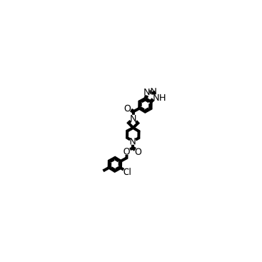 Cc1ccc(COC(=O)N2CCC3(CC2)CN(C(=O)c2ccc4[nH]nnc4c2)C3)c(Cl)c1